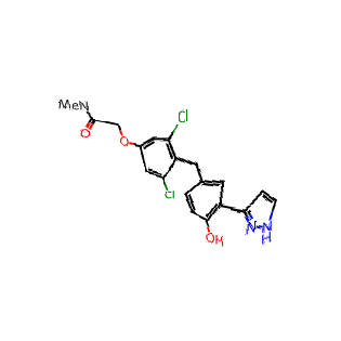 CNC(=O)COc1cc(Cl)c(Cc2ccc(O)c(-c3cc[nH]n3)c2)c(Cl)c1